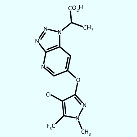 CC(C(=O)O)n1nnc2ncc(Oc3nn(C)c(C(F)(F)F)c3Cl)cc21